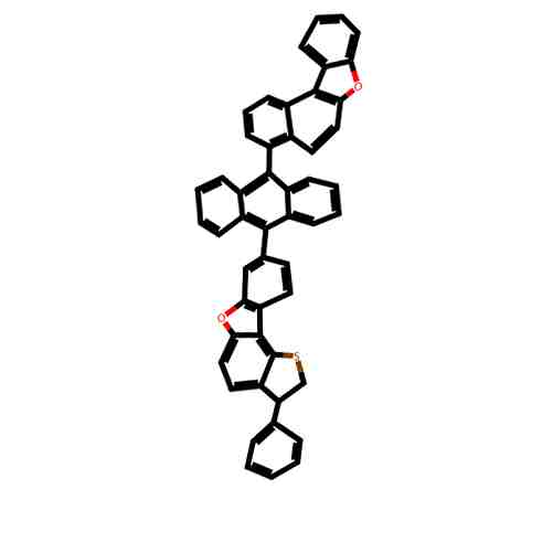 c1ccc(C2CSc3c2ccc2oc4cc(-c5c6ccccc6c(-c6cccc7c6ccc6oc8ccccc8c67)c6ccccc56)ccc4c32)cc1